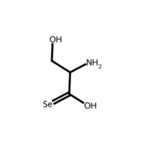 NC(CO)C(O)=[Se]